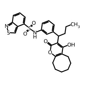 CCCC(c1cccc(NS(=O)(=O)c2cccc3nscc23)c1)c1c(O)c2c(oc1=O)CCCCCC2